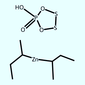 CC[CH](C)[Zn][CH](C)CC.O=P1(O)OSSO1